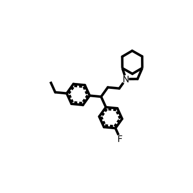 CCc1ccc(C(CCN2CC3CCCC2C3)c2ccc(F)cc2)cc1